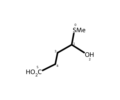 CSC(O)CCC(=O)O